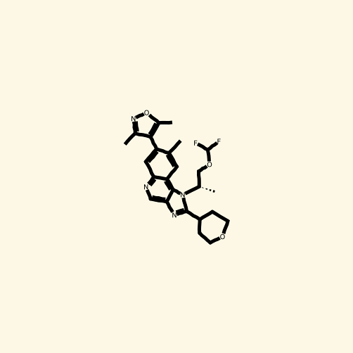 Cc1cc2c(cc1-c1c(C)noc1C)ncc1nc(C3CCOCC3)n([C@@H](C)COC(F)F)c12